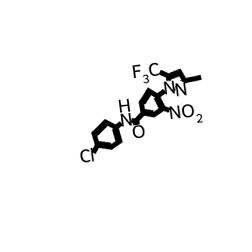 Cc1cc(C(F)(F)F)n(-c2ccc(C(=O)Nc3ccc(Cl)cc3)cc2[N+](=O)[O-])n1